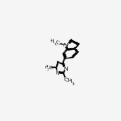 Cc1nc(N)cc(-c2ccc3ccn(C)c3c2)n1